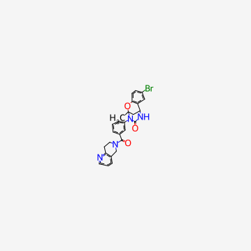 CC12CC(NC(=O)N1c1cccc(C(=O)N3CCc4ncccc4C3)c1)c1cc(Br)ccc1O2